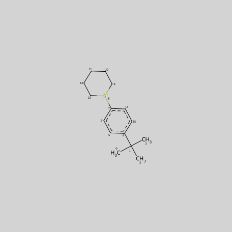 CC(C)(C)c1ccc([S+]2CCCCC2)cc1